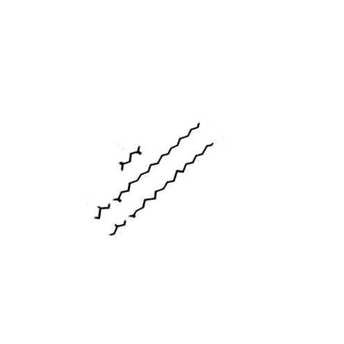 CCCCCCCCCCCCCCCCCC(=O)OCC(O)CO.CCCCCCCCCCCCCCCCCC(=O)OCC(O)CO.O=C([O-])CCC(=O)[O-].[K+].[K+]